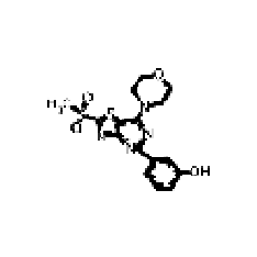 CS(=O)(=O)c1nc2nc(-c3cccc(O)c3)nc(N3CCOCC3)c2s1